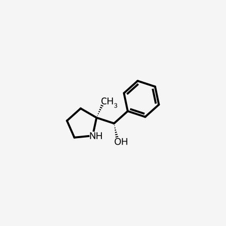 C[C@@]1([C@@H](O)c2ccccc2)CCCN1